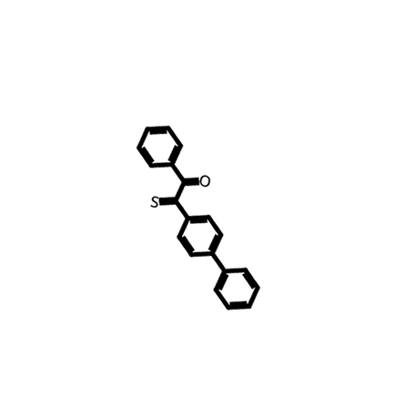 O=C(C(=S)c1ccc(-c2ccccc2)cc1)c1ccccc1